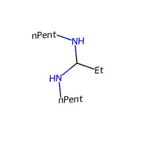 CCCCCNC(CC)NCCCCC